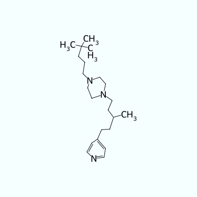 CC(CCc1ccncc1)CCN1CCN(CCCC(C)(C)C)CC1